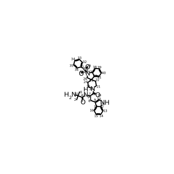 CC(C)(N)C(=O)N[C@H](Cc1c[nH]c2ccccc12)C(=O)N1CCC2(CC1)CN(S(=O)(=O)c1ccccc1)c1ccccc12